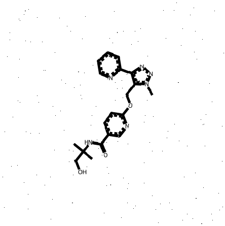 Cn1nnc(-c2ccccn2)c1COc1ccc(C(=O)NC(C)(C)CO)cn1